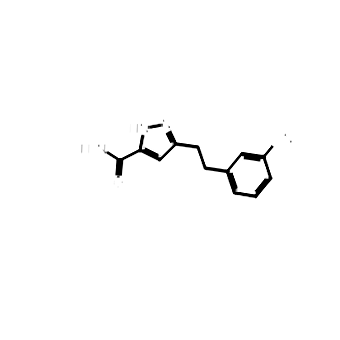 N#Cc1cccc(C[CH]c2cc(C(N)=O)[nH]n2)c1